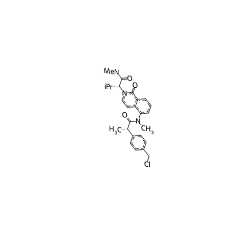 CNC(=O)[C@@H](C(C)C)n1ccc2c(N(C)C(=O)[C@@H](C)c3ccc(CCl)cc3)cccc2c1=O